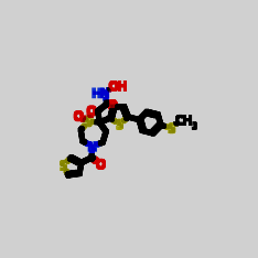 CSc1ccc(-c2ccc(C3(CC(=O)NO)CCN(C(=O)c4ccsc4)CCS3(=O)=O)s2)cc1